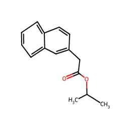 CC(C)OC(=O)Cc1ccc2ccccc2c1